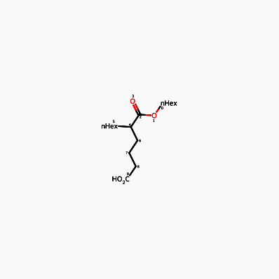 CCCCCCOC(=O)C(CCCCCC)CCCC(=O)O